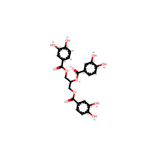 O=C(OCC(COC(=O)c1ccc(O)c(O)c1)OC(=O)c1ccc(O)c(O)c1)c1ccc(O)c(O)c1